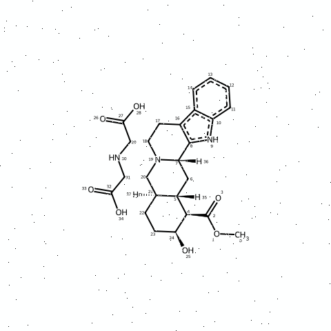 COC(=O)[C@@H]1[C@H]2C[C@H]3c4[nH]c5ccccc5c4CCN3C[C@@H]2CC[C@@H]1O.O=C(O)CNCC(=O)O